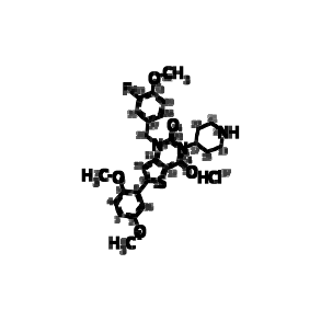 COc1ccc(OC)c(-c2cc3c(s2)c(=O)n(C2CCNCC2)c(=O)n3Cc2ccc(OC)c(F)c2)c1.Cl